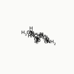 Cc1cc(NC2=CC(=NS(=O)(=O)C3CC3)C(c3cnc(C4CCC(OC(N)=O)CC4)s3)C=C2)n[nH]1